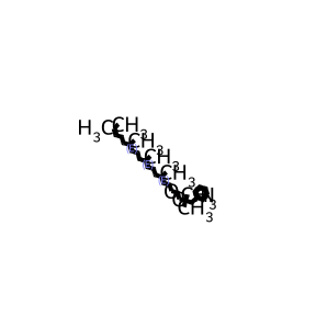 CC(C)=CCC/C(C)=C/CC/C(C)=C/CC/C(C)=C/COCOC(C)(C)Cc1cccnc1